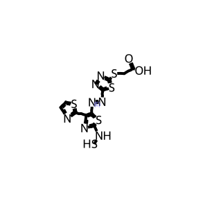 O=C(O)CSc1nnc(/N=N/c2sc(NS)nc2-c2nccs2)s1